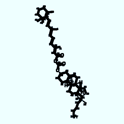 CC1=C(/C=C/C(C)=C/C=C/C(C)=C/C(=O)OC(=O)O[C@H]2CC[C@@]3(C)C(=CC[C@H]4[C@@H]5CC[C@H]([C@H](C)CCCC(C)C)[C@@]5(C)CC[C@@H]43)C2)C(C)(C)CCC1